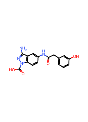 Nc1nn(C(=O)O)c2ccc(NC(=O)Cc3cccc(O)c3)cc12